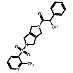 O=C([C@H](O)c1ccccc1)N1CC2=C(C1)CN(S(=O)(=O)c1cccnc1C(F)(F)F)C2